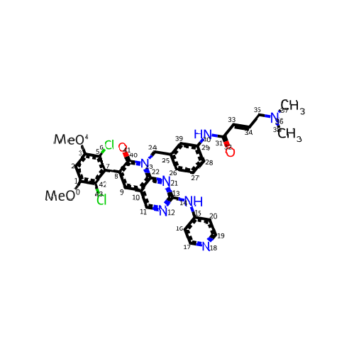 COc1cc(OC)c(Cl)c(-c2cc3cnc(Nc4ccncc4)nc3n(Cc3cccc(NC(=O)/C=C/CN(C)C)c3)c2=O)c1Cl